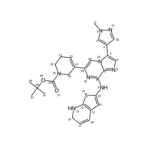 Cn1cc(-c2cnc3c(Nc4cc5c(s4)NCC=C5)nc(C4=CCCN(C(=O)OC(C)(C)C)C4)cn23)cn1